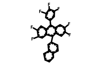 Fc1cc2c(-c3cc(F)c(F)c(F)c3)c3cc(F)c(F)cc3c(-c3ccc4ccccc4c3)c2cc1F